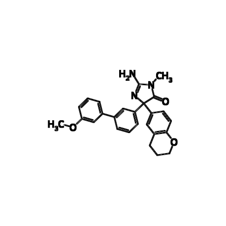 COc1cccc(-c2cccc(C3(c4ccc5c(c4)CCCO5)N=C(N)N(C)C3=O)c2)c1